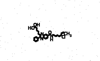 C\C=C/C(Cl)=C\C=C\CNC(=O)c1ccc2nc(-c3ccccc3)c(CCCCC(O)O)nc2c1